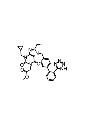 CCc1nc2c(c(=O)n(CC(=O)OC)c(=O)n2CC2CC2)n1Cc1ccc(-c2ccccc2-c2nnn[nH]2)cc1